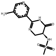 CS(=O)(=O)N[C@H]1CN=C(c2cncc(N)c2)NC1=O